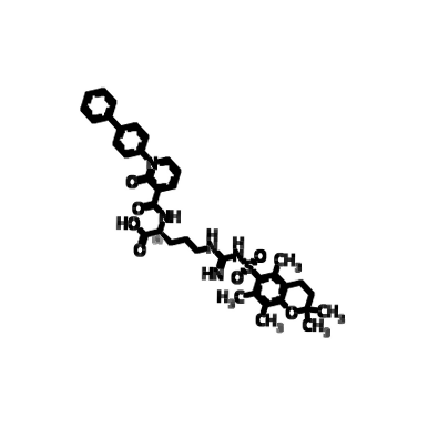 Cc1c(C)c(S(=O)(=O)NC(=N)NCCC[C@H](NC(=O)c2cccn(-c3ccc(-c4ccccc4)cc3)c2=O)C(=O)O)c(C)c2c1OC(C)(C)CC2